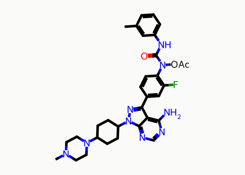 CC(=O)ON(C(=O)Nc1cccc(C)c1)c1ccc(-c2nn(C3CCC(N4CCN(C)CC4)CC3)c3ncnc(N)c23)cc1F